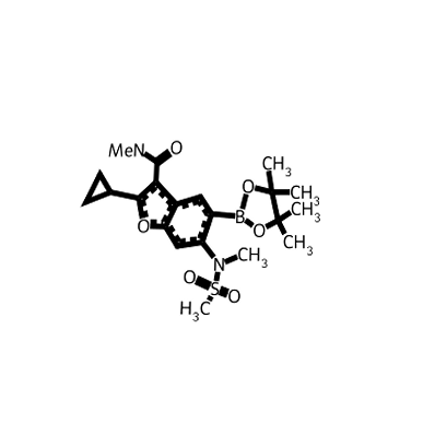 CNC(=O)c1c(C2CC2)oc2cc(N(C)S(C)(=O)=O)c(B3OC(C)(C)C(C)(C)O3)cc12